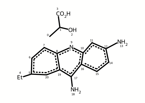 CC(O)C(=O)O.CCc1ccc2nc3cc(N)ccc3c(N)c2c1